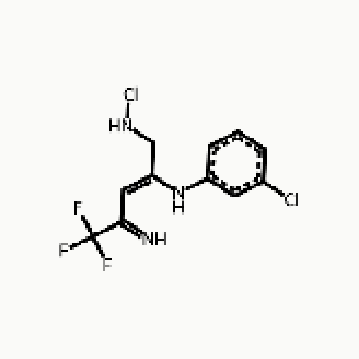 N=C(/C=C(/CNCl)Nc1cccc(Cl)c1)C(F)(F)F